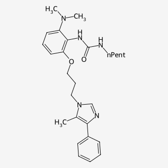 CCCCCNC(=O)Nc1c(OCCCn2cnc(-c3ccccc3)c2C)cccc1N(C)C